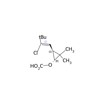 CC(C)(C)/C(Cl)=C/[C@@H]1[C@@H](OC(=O)O)C1(C)C